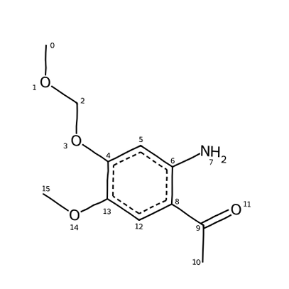 COCOc1cc(N)c(C(C)=O)cc1OC